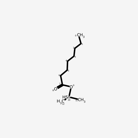 CCCCCCCC(=O)[O][SnH]([CH3])[CH3]